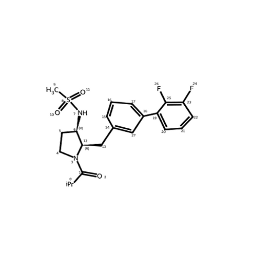 CC(C)C(=O)N1CC[C@@H](NS(C)(=O)=O)[C@H]1Cc1cccc(-c2cccc(F)c2F)c1